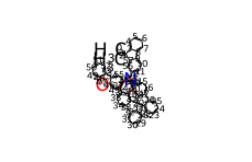 CC1(C)c2ccccc2-c2ccc(N(c3ccc4c(c3)C3(c5ccccc5-4)c4ccccc4-c4ccc5ccccc5c43)c3ccc4oc5ccccc5c4c3)cc21